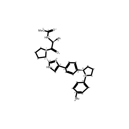 COC(=O)N[C@H](C(=O)N1CCC[C@H]1c1nc(-c2ccc([C@H]3CCCN3c3ccc(C(C)(C)C)cc3)cc2)c[nH]1)C(C)C